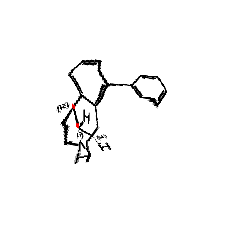 c1ccc(-c2cccc3c2C[C@H]2NCC[C@@]34CCCC[C@@H]24)cc1